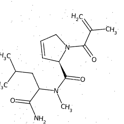 C=C(C)C(=O)N1CC=C[C@@H]1C(=O)N(C)C(CC(C)C)C(N)=O